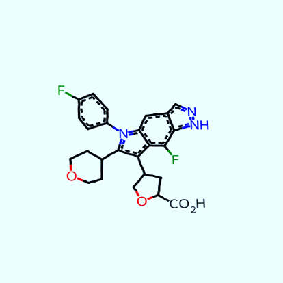 O=C(O)C1CC(c2c(C3CCOCC3)n(-c3ccc(F)cc3)c3cc4cn[nH]c4c(F)c23)CO1